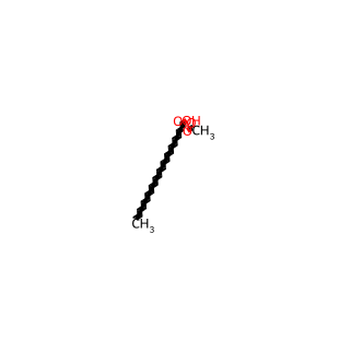 CCCCCCCCCCCCCCCCCCCCCCCCC(OC(C)=O)C(=O)O